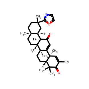 CC1(C)C(=O)C(C#N)=C[C@]2(C)C3=CC(=O)[C@@H]4[C@@H]5C[C@@](C)(c6ncco6)CC[C@]5(C)CC[C@@]4(C)[C@]3(C)CC[C@@H]12